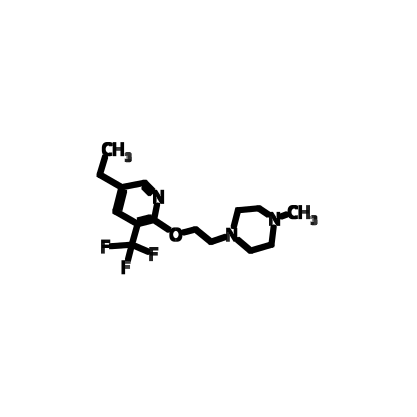 CCc1cnc(OCCN2CCN(C)CC2)c(C(F)(F)F)c1